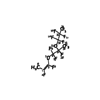 C/C(F)=C(/F)OC(F)(F)C(F)(OC(F)(F)C(F)(F)C(F)(F)F)C(F)(F)F